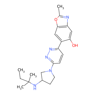 CCC(C)(C)NC1CCN(c2ccc(-c3cc4oc(C)nc4cc3O)nn2)C1